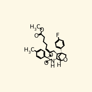 COC(=O)CCC/C=C\C[C@@H]1[C@@H](NS(=O)(=O)c2ccc(C)cc2)[C@@H]2C[C@]1(c1ccc(F)cc1)CO2